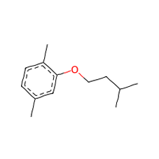 Cc1ccc(C)c(OCCC(C)C)c1